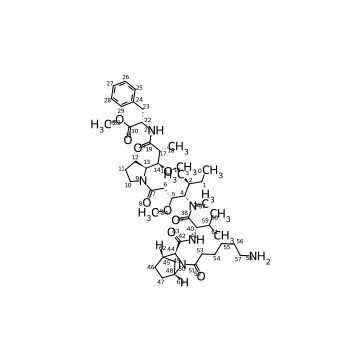 CC[C@H](C)[C@@H]([C@@H](CC(=O)N1CCC[C@H]1[C@H](OC)[C@@H](C)C(=O)N[C@@H](Cc1ccccc1)C(=O)OC)OC)N(C)C(=O)[C@@H](NC(=O)[C@@H]1[C@H]2CC[C@H](C2)N1C(=O)CCCCCN)C(C)C